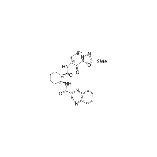 CSc1nnc(C(=O)[C@H](CC(C)C)NC(=O)[C@@H]2CCCC[C@@H]2NC(=O)c2cnc3ccccc3n2)o1